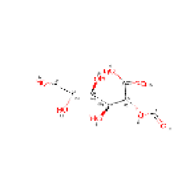 O=CO[C@@H](C(=O)O)[C@@H](O)[C@H](O)[C@H](O)CO